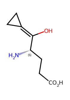 N[C@@H](CCC(=O)O)C(O)=C1CC1